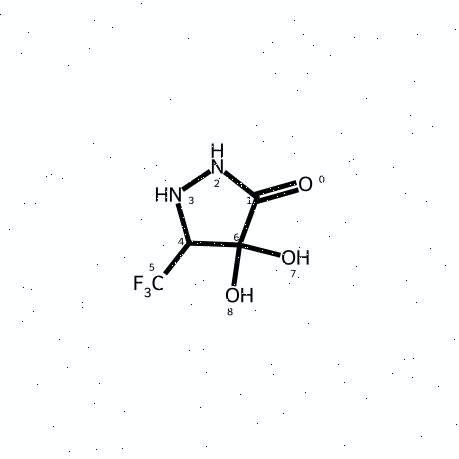 O=C1NNC(C(F)(F)F)C1(O)O